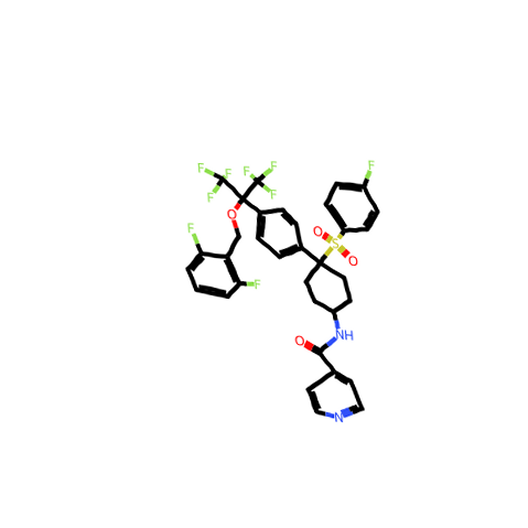 O=C(NC1CCC(c2ccc(C(OCc3c(F)cccc3F)(C(F)(F)F)C(F)(F)F)cc2)(S(=O)(=O)c2ccc(F)cc2)CC1)c1ccncc1